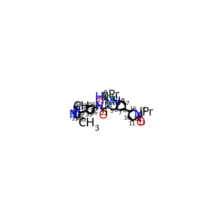 CCCC(=O)N[C@@H](Cc1cc(-c2ccc(=O)n(C(C)C)c2)ccc1Cl)C(=O)Nc1ccc(-c2c(C)cnn2C)cc1